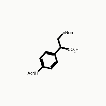 CCCCCCCCCCC(C(=O)O)c1ccc(NC(C)=O)cc1